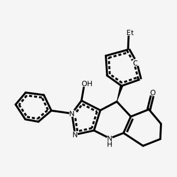 CCc1ccc([C@H]2C3=C(CCCC3=O)Nc3nn(-c4ccccc4)c(O)c32)cc1